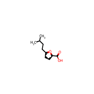 CC(C)CCc1ccc(C(=O)O)o1